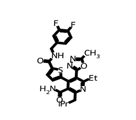 CCc1nc(CC(C)C)c(C(N)=O)c(-c2ccc(C(=O)NCc3ccc(F)c(F)c3)s2)c1-c1nnc(C)o1